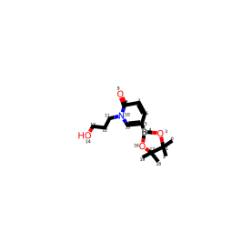 CC1(C)OB(c2ccc(=O)n(CCCO)c2)OC1(C)C